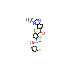 Cc1cnc2ccc(C(=O)c3c(Cl)ccc(NC(=O)c4cccc(F)c4)c3F)cc2n1